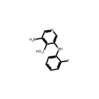 Bc1cncc(Nc2ccccc2F)c1C(=O)O